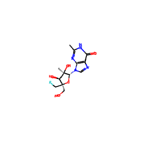 Cc1nc2c(ncn2[C@@H]2O[C@@](CO)(CF)[C@@H](O)[C@@]2(C)O)c(=O)[nH]1